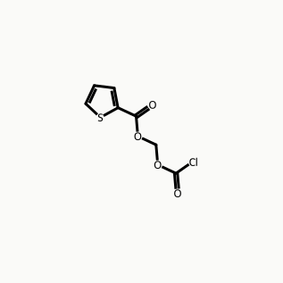 O=C(Cl)OCOC(=O)c1cccs1